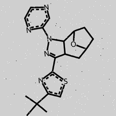 CC(C)(C)c1csc(C2=NN(c3cnccn3)C3C4CCC(CC23)O4)n1